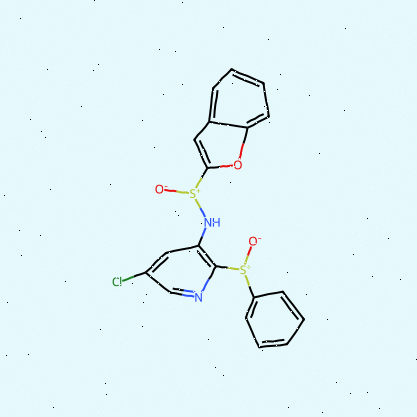 [O-][S+](Nc1cc(Cl)cnc1[S+]([O-])c1ccccc1)c1cc2ccccc2o1